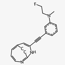 CN(CCF)c1cccc(C#CC2=C/C3=C/C=C\N=C(/CC3)N2)c1